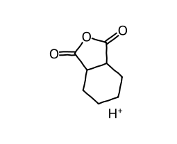 O=C1OC(=O)C2CCCCC12.[H+]